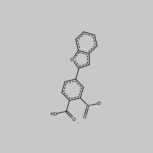 O=C(O)c1ccc(-c2cc3ccccc3o2)cc1[N+](=O)[O-]